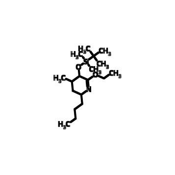 CCCCC1CC(C)C(O[Si](C)(C)C(C)(C)C)C(OCC)=N1